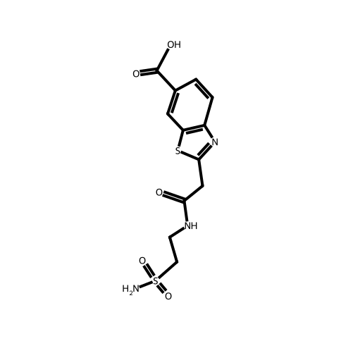 NS(=O)(=O)CCNC(=O)Cc1nc2ccc(C(=O)O)cc2s1